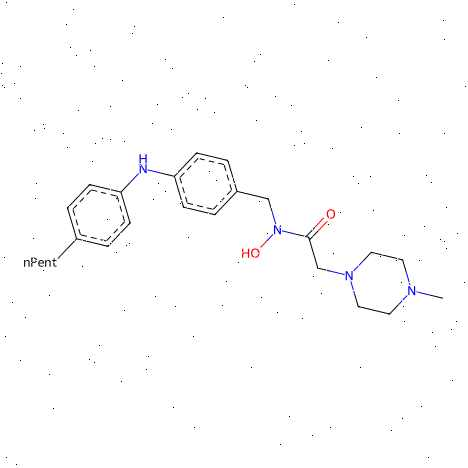 CCCCCc1ccc(Nc2ccc(CN(O)C(=O)CN3CCN(C)CC3)cc2)cc1